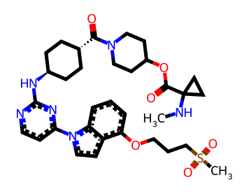 CNC1(C(=O)OC2CCN(C(=O)[C@H]3CC[C@H](Nc4nccc(-n5ccc6c(OCCCS(C)(=O)=O)cccc65)n4)CC3)CC2)CC1